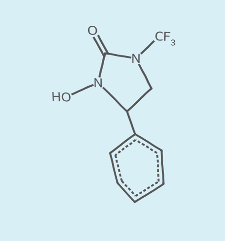 O=C1N(O)C(c2ccccc2)CN1C(F)(F)F